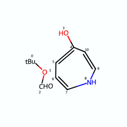 CC(C)(C)OC=O.OC1=CC=CNC=C1